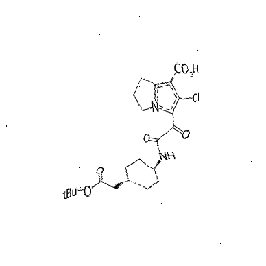 CC(C)(C)OC(=O)C[C@H]1CC[C@@H](NC(=O)C(=O)c2c(Cl)c(C(=O)O)c3n2CCC3)CC1